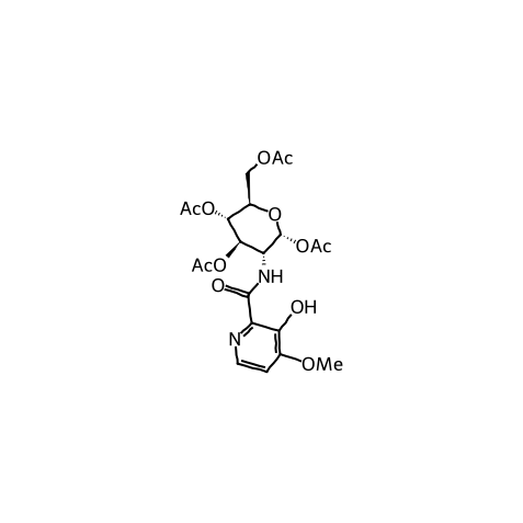 COc1ccnc(C(=O)N[C@H]2[C@@H](OC(C)=O)O[C@H](COC(C)=O)[C@@H](OC(C)=O)[C@@H]2OC(C)=O)c1O